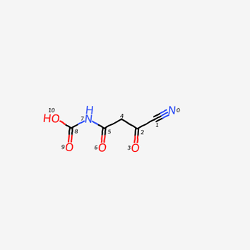 N#CC(=O)CC(=O)NC(=O)O